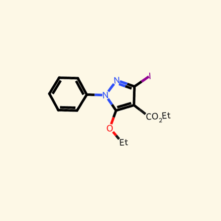 CCOC(=O)c1c(I)nn(-c2ccccc2)c1OCC